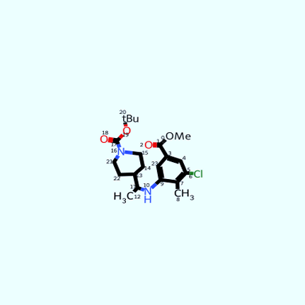 COC(=O)c1cc(Cl)c(C)c(NC(C)C2CCN(C(=O)OC(C)(C)C)CC2)c1